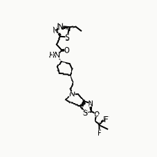 CCc1nnc(CC(=O)N[C@H]2CC[C@H](CCN3CCc4sc(OCC(C)(F)F)nc4C3)CC2)s1